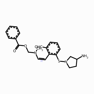 CN(/C=C\c1c(C=O)cccc1SN1CCC(N)C1)COC(=O)c1ccccc1